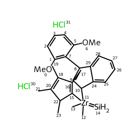 COc1cccc(OC)c1C1=C[CH]([Zr]([CH3])([CH3])(=[SiH2])[C]2=C(C)C(C)=C(C)C2C)c2ccccc21.Cl.Cl